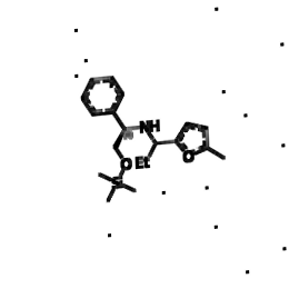 CCC(N[C@@H](CO[Si](C)(C)C)c1ccccc1)c1ccc(C)o1